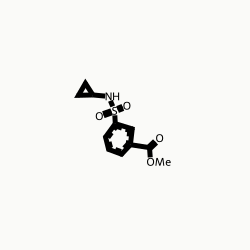 COC(=O)c1cccc(S(=O)(=O)NC2CC2)c1